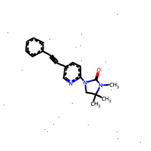 CN1C(=O)N(c2ccc(C#Cc3ccccc3)cn2)CC1(C)C